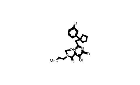 CCc1cccc(C2(Cc3nc(=O)c(O)c4n3CCN(CCOC)C4=O)CCCC2)c1